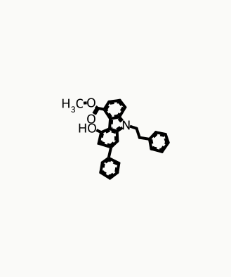 COC(=O)c1cccc2c1c1c(O)cc(-c3ccccc3)cc1n2CCc1ccccc1